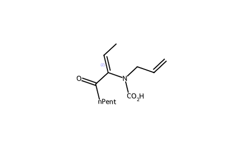 C=CCN(C(=O)O)/C(=C\C)C(=O)CCCCC